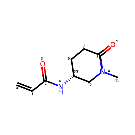 C=CC(=O)N[C@@H]1CCC(=O)N(C)C1